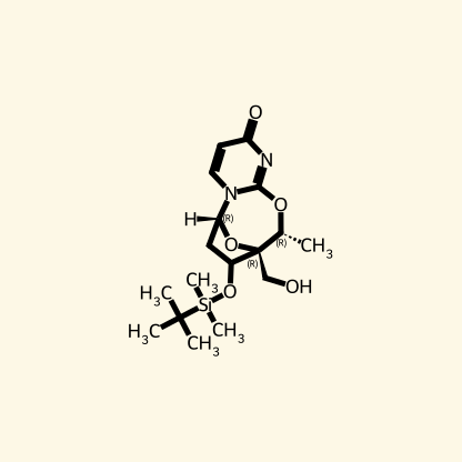 C[C@H]1Oc2nc(=O)ccn2[C@H]2CC(O[Si](C)(C)C(C)(C)C)[C@]1(CO)O2